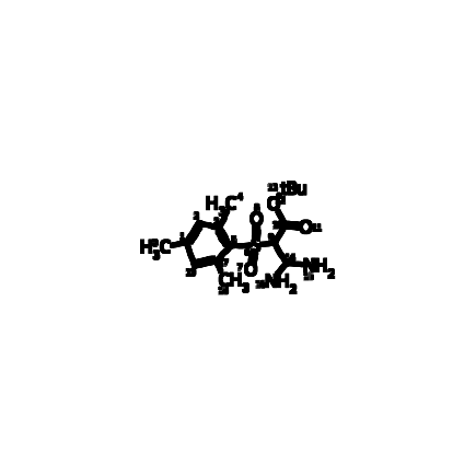 Cc1cc(C)c(S(=O)(=O)C(C(=O)OC(C)(C)C)C(N)N)c(C)c1